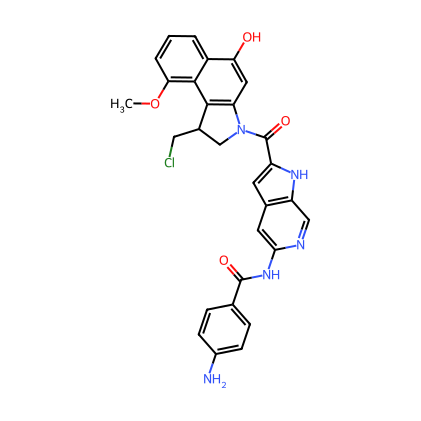 COc1cccc2c(O)cc3c(c12)C(CCl)CN3C(=O)c1cc2cc(NC(=O)c3ccc(N)cc3)ncc2[nH]1